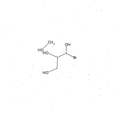 CO.OCC(O)C(O)Br